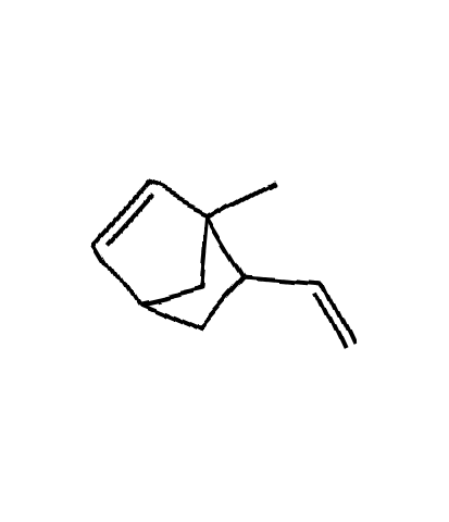 C=CC1CC2C=CC1(C)C2